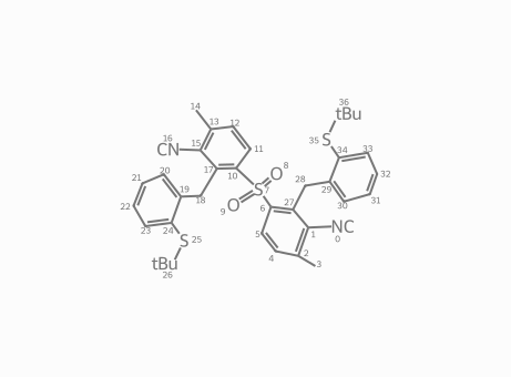 [C-]#[N+]c1c(C)ccc(S(=O)(=O)c2ccc(C)c([N+]#[C-])c2Cc2ccccc2SC(C)(C)C)c1Cc1ccccc1SC(C)(C)C